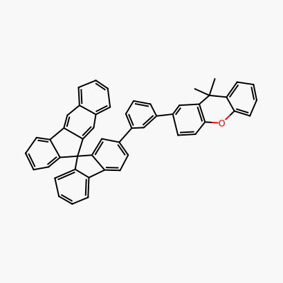 CC1(C)c2ccccc2Oc2ccc(-c3cccc(-c4ccc5c(c4)C4(c6ccccc6-5)c5ccccc5-c5cc6ccccc6cc54)c3)cc21